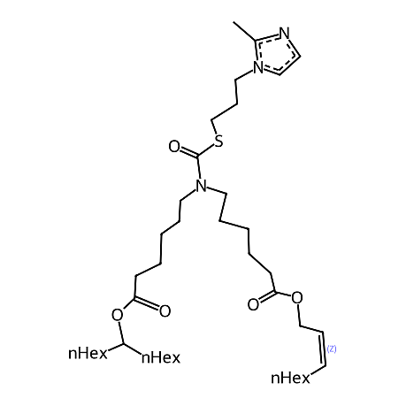 CCCCCC/C=C\COC(=O)CCCCCN(CCCCCC(=O)OC(CCCCCC)CCCCCC)C(=O)SCCCn1ccnc1C